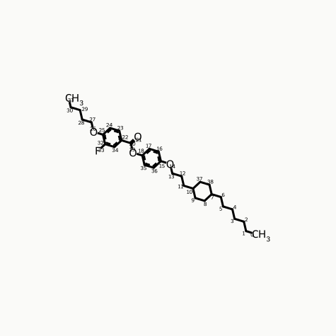 CCCCCCCC1CCC(CCCOc2ccc(OC(=O)c3ccc(OCCCCC)c(F)c3)cc2)CC1